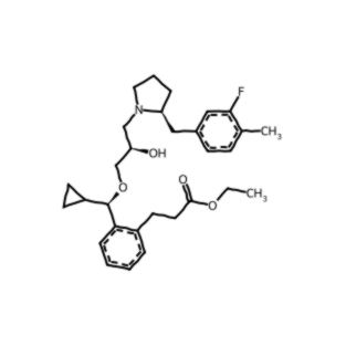 CCOC(=O)CCc1ccccc1[C@H](OC[C@H](O)CN1CCC[C@H]1Cc1ccc(C)c(F)c1)C1CC1